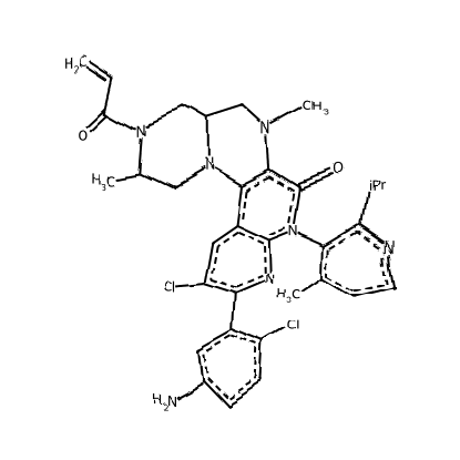 C=CC(=O)N1CC2CN(C)c3c(c4cc(Cl)c(-c5cc(N)ccc5Cl)nc4n(-c4c(C)ccnc4C(C)C)c3=O)N2CC1C